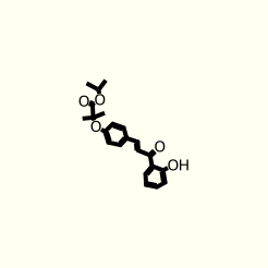 CC(C)OC(=O)C(C)(C)Oc1ccc(C=CC(=O)c2ccccc2O)cc1